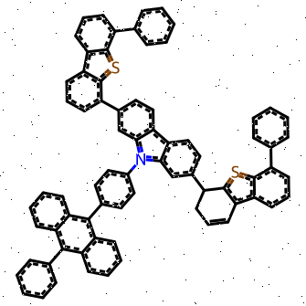 C1=Cc2c(sc3c(-c4ccccc4)cccc23)C(c2ccc3c4ccc(-c5cccc6c5sc5c(-c7ccccc7)cccc56)cc4n(-c4ccc(-c5c6ccccc6c(-c6ccccc6)c6ccccc56)cc4)c3c2)C1